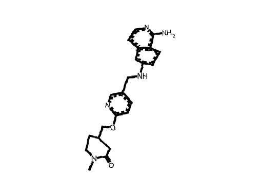 CN1CCC(COc2ccc(CNc3ccc4c(N)nccc4c3)cn2)CC1=O